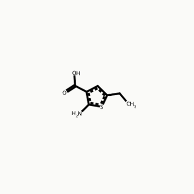 CCc1cc(C(=O)O)c(N)s1